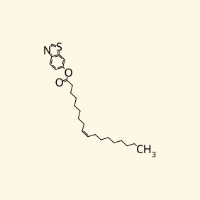 CCCCCCCC/C=C\CCCCCCCC(=O)Oc1ccc2ncsc2c1